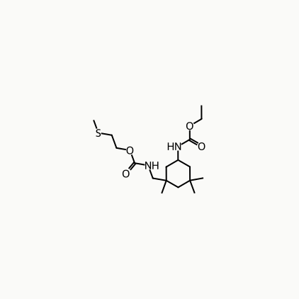 CCOC(=O)NC1CC(C)(C)CC(C)(CNC(=O)OCCSC)C1